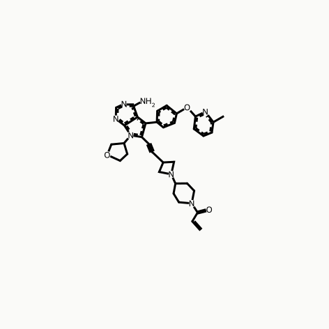 C=CC(=O)N1CCC(N2CC(C#Cc3c(-c4ccc(Oc5cccc(C)n5)cc4)c4c(N)ncnc4n3C3CCOC3)C2)CC1